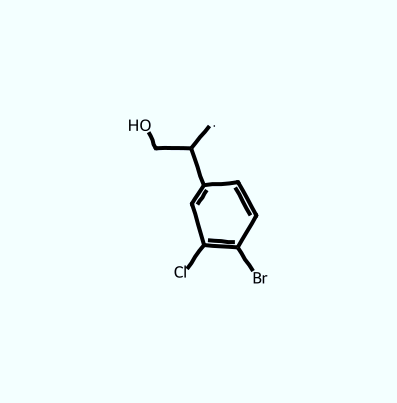 [CH2]C(CO)c1ccc(Br)c(Cl)c1